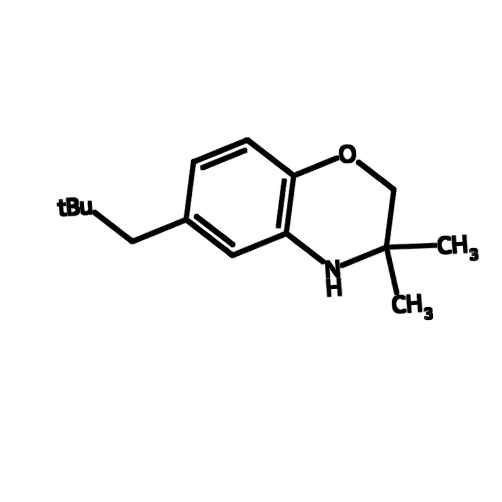 CC(C)(C)Cc1ccc2c(c1)NC(C)(C)CO2